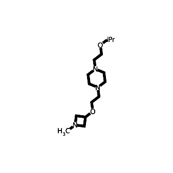 CC(C)OCCN1CCN(CCOC2CN(C)C2)CC1